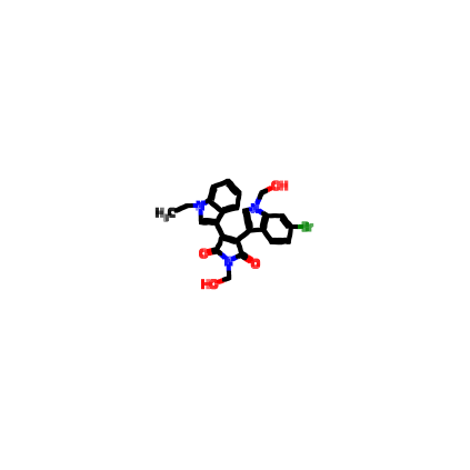 CCn1cc(C2=C(c3cn(CO)c4cc(Br)ccc34)C(=O)N(CO)C2=O)c2ccccc21